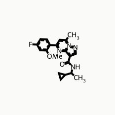 COc1cc(F)ccc1-c1cc(C)n2ncc(C(=O)NC(C)C3CC3)c2n1